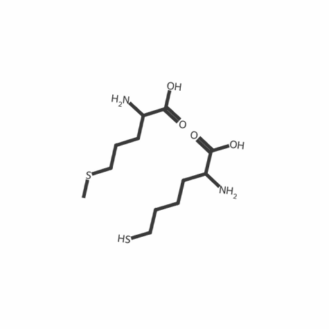 CSCCCC(N)C(=O)O.NC(CCCCS)C(=O)O